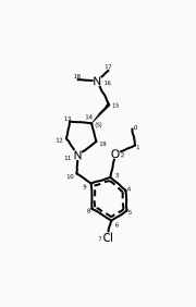 CCOc1ccc(Cl)cc1CN1CC[C@@H](CN(C)C)C1